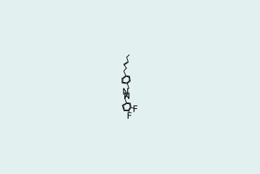 CCC=CCCc1ccc(C=NN=Cc2ccc(F)c(F)c2)cc1